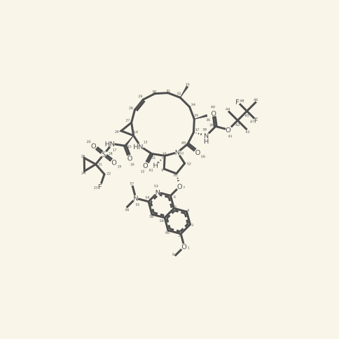 COc1ccc2c(O[C@@H]3C[C@H]4C(=O)N[C@]5(C(=O)NS(=O)(=O)C6(CF)CC6)CC5/C=C\CC[C@@H](C)C[C@@H](C)[C@H](NC(=O)OC(C)(C)C(C)(F)F)C(=O)N4C3)nc(N(C)C)cc2c1